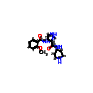 COc1ccccc1C(=O)Nc1c[nH]nc1C(=O)NC1CCNCC1